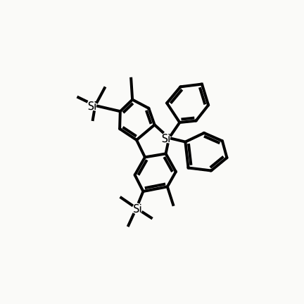 Cc1cc2c(cc1[Si](C)(C)C)-c1cc([Si](C)(C)C)c(C)cc1[Si]2(c1ccccc1)c1ccccc1